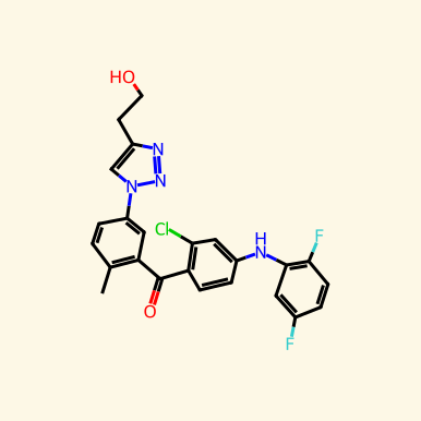 Cc1ccc(-n2cc(CCO)nn2)cc1C(=O)c1ccc(Nc2cc(F)ccc2F)cc1Cl